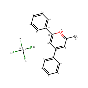 CCc1cc(-c2ccccc2)cc(-c2ccccc2)[o+]1.F[B-](F)(F)F